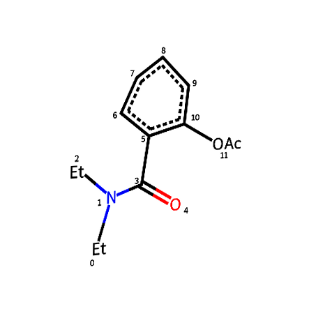 CCN(CC)C(=O)c1ccccc1OC(C)=O